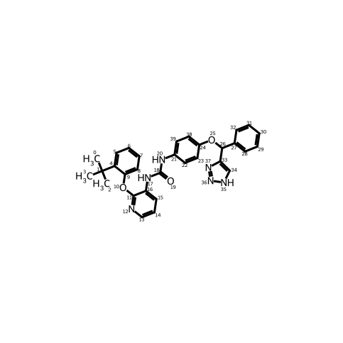 CC(C)(C)c1ccccc1Oc1ncccc1NC(=O)Nc1ccc(OC(c2ccccc2)c2c[nH]nn2)cc1